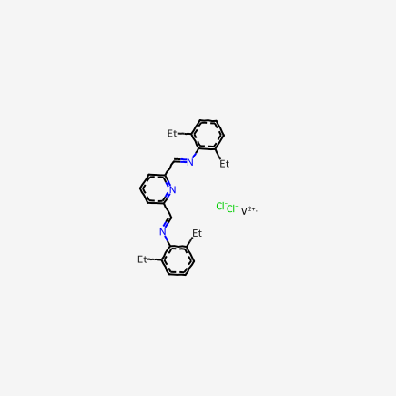 CCc1cccc(CC)c1N=Cc1cccc(C=Nc2c(CC)cccc2CC)n1.[Cl-].[Cl-].[V+2]